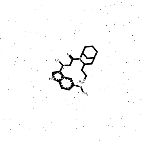 CCCC1CC2CCCC(C2)N1C(=O)CC(C)c1c[nH]c2ccc(OC)cc12